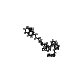 COCCn1ncc2cccc(C(C(=O)O)N3CC(OCCCCCc4ccc5c(n4)NCCC5)C3)c21